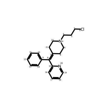 ClCCCN1CCC(=C(c2ccccc2)c2ccccn2)CC1